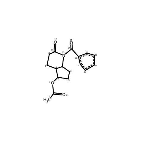 CC(=O)OC1CCC2C1CCC(=O)N2C(=O)c1ccccc1